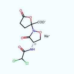 O=C1CCC(C(=O)[O-])(N2OC[C@H](NC(=O)C(Cl)Cl)C2=O)O1.[Na+]